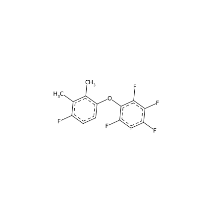 Cc1c(F)ccc(Oc2c(F)[c]c(F)c(F)c2F)c1C